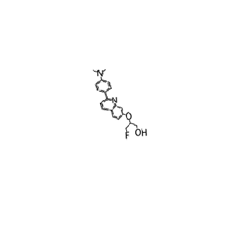 CN(C)c1ccc(-c2ccc3ccc(OC(CO)CF)cc3n2)cc1